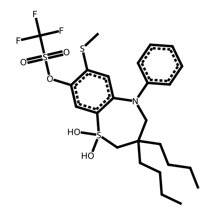 CCCCC1(CCCC)CN(c2ccccc2)c2cc(SC)c(OS(=O)(=O)C(F)(F)F)cc2S(O)(O)C1